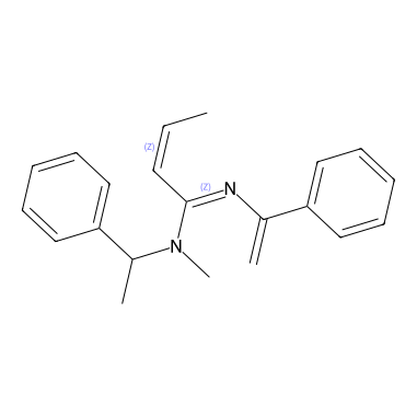 C=C(/N=C(/C=C\C)N(C)C(C)c1ccccc1)c1ccccc1